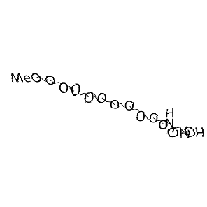 COCCOCCOCCOCCOCCOCCOCCOCCOCCOCCONC(O)CCO